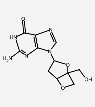 Nc1nc2c(ncn2C2CC3OCC3(CO)O2)c(=O)[nH]1